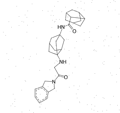 O=C(NC12CC3CC(C1)C(NCC(=O)N1Cc4ccccc4C1)(C3)C2)C1C2CC3CC(C2)C1C3